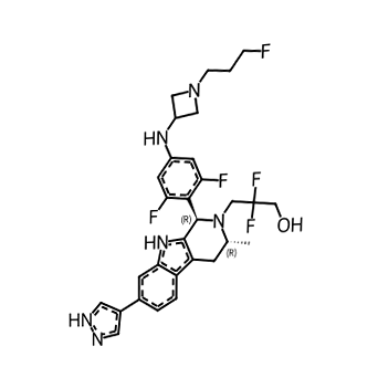 C[C@@H]1Cc2c([nH]c3cc(-c4cn[nH]c4)ccc23)[C@@H](c2c(F)cc(NC3CN(CCCF)C3)cc2F)N1CC(F)(F)CO